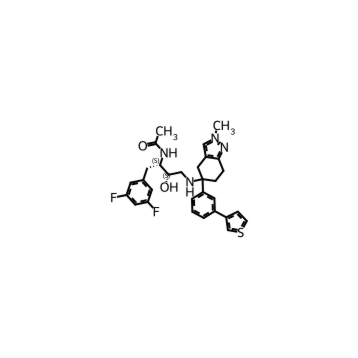 CC(=O)N[C@@H](Cc1cc(F)cc(F)c1)[C@@H](O)CNC1(c2cccc(-c3ccsc3)c2)CCc2nn(C)cc2C1